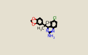 CC(C)(c1ccc2c(c1)OCO2)c1nc(N)nc2ccc(Cl)cc12